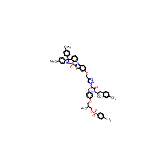 CCOC(=O)[C@H](Cc1ccc(C(F)(F)F)cc1)NC(=O)[C@H](Cc1ccc(OCC(COS(=O)(=O)c2ccc(C)cc2)OC(C)=O)cc1)n1cc(COc2ccc3nc(S(=O)(=O)NC(c4ccccc4)(c4ccc(OC)cc4)c4ccc(OC)cc4)sc3c2)nn1